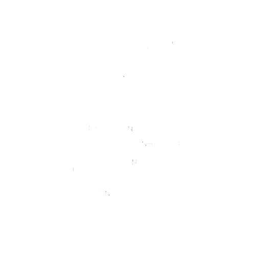 COc1ccc(N2NN3C(=C2O)C(C)=Nc2ccccc23)cn1.O